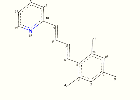 Cc1cc(C)c(C=CC=Cc2ccccn2)c(C)c1